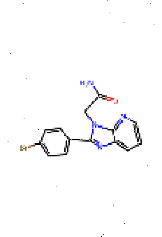 NC(=O)Cn1c(-c2ccc(Br)cc2)nc2cccnc21